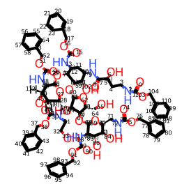 O=C(NCC[C@H](O)C(=O)N[C@@H]1C[C@H](NC(=O)OCc2ccccc2)[C@@H](O[C@H]2O[C@H](CN(CCO)C(=O)OCc3ccccc3)[C@@H]3O[C@@H]3[C@H]2NC(=O)OCc2ccccc2)[C@H](O[C@@H]2O[C@H](CO)[C@@H](O[C@H]3O[C@@H](CNC(=O)OCc4ccccc4)[C@@H](O)[C@H](O)[C@H]3NC(=O)OCc3ccccc3)[C@H]2O)[C@H]1O)OCc1ccccc1